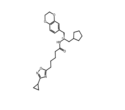 O=C(CCCCc1nc(C2CC2)no1)N[C@@H](Cc1ccc2c(c1)OCCO2)CC1CCCC1